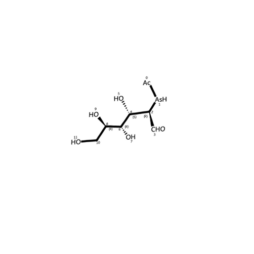 CC(=O)[AsH][C@@H](C=O)[C@@H](O)[C@H](O)[C@H](O)CO